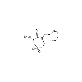 CNC1CS(=O)(=O)CCN(CC2CCCCO2)C1=O